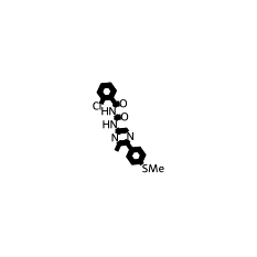 CSc1ccc(-c2ncc(NC(=O)NC(=O)c3ccccc3Cl)nc2C)cc1